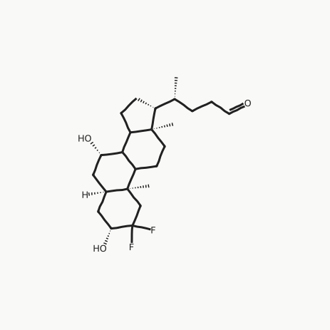 C[C@H](CCC=O)[C@H]1CCC2C3C(CC[C@@]21C)[C@@]1(C)CC(F)(F)[C@H](O)C[C@H]1C[C@@H]3O